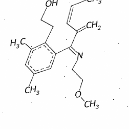 C=C(/C=C\C)/C(=N/CCOC)c1cc(C)cc(C)c1CCO